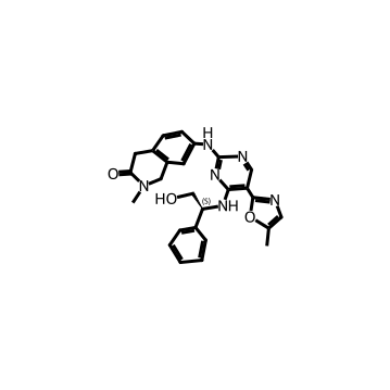 Cc1cnc(-c2cnc(Nc3ccc4c(c3)CN(C)C(=O)C4)nc2N[C@H](CO)c2ccccc2)o1